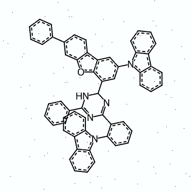 c1ccc(C2=NC(c3ccccc3-n3c4ccccc4c4ccccc43)=NC(c3cc(-n4c5ccccc5c5ccccc54)cc4c3oc3cc(-c5ccccc5)ccc34)N2)cc1